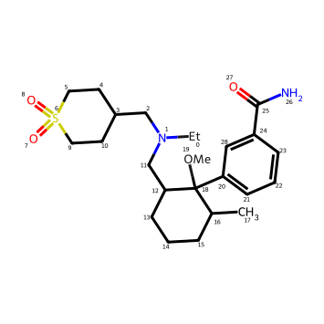 CCN(CC1CCS(=O)(=O)CC1)CC1CCCC(C)C1(OC)c1cccc(C(N)=O)c1